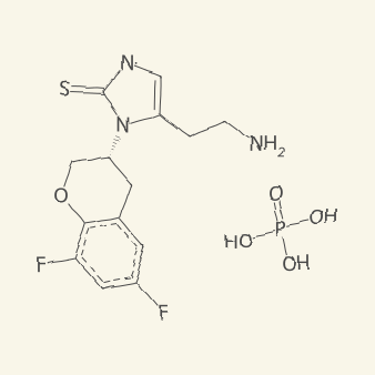 NCCC1=C[N]C(=S)N1[C@H]1COc2c(F)cc(F)cc2C1.O=P(O)(O)O